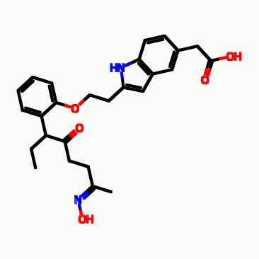 CCC(C(=O)CCC(C)=NO)c1ccccc1OCCc1cc2cc(CC(=O)O)ccc2[nH]1